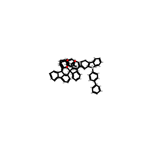 C1=CCC(C23c4ccccc4-c4cccc(c42)C(c2ccccc2)(c2ccccc2N(C2=Cc4c(c5ccccc5n4-c4ccc(-c5ccccc5)cc4)CC2)c2ccccc2)c2ccccc23)C=C1